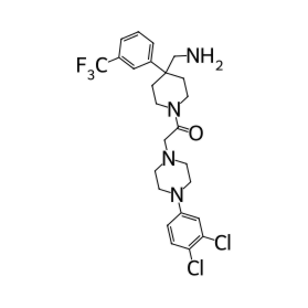 NCC1(c2cccc(C(F)(F)F)c2)CCN(C(=O)CN2CCN(c3ccc(Cl)c(Cl)c3)CC2)CC1